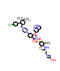 CC1(C)CCC(CN2CCN(c3ccc(C(=O)NS(=O)(=O)c4cc(N=O)c5c(c4)OC[C@@H](CCN4CC(O)C4)N5)c(Oc4cnc5[nH]ccc5c4)c3)CC2)=C(c2ccc(Cl)cc2)C1